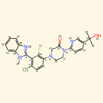 Cn1c(-c2c(Cl)ccc(N3CCN(c4ccc(C(C)(C)O)cn4)C(=O)C3)c2F)nc2ccccc21